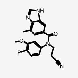 COc1cc(N(CCC#N)C(=O)c2cc(C)c3nc[nH]c3c2)ccc1F